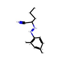 CCCC(C#N)N=Nc1ccc(C)cc1C